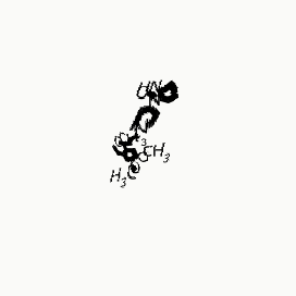 COc1cc2c(cc1OC)C(C)(CCCN1CCC(n3c(=O)[nH]c4ccccc43)CC1)OCC2